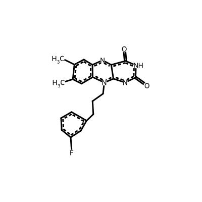 Cc1cc2nc3c(=O)[nH]c(=O)nc-3n(CCCc3cccc(F)c3)c2cc1C